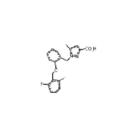 Cc1cc(C(=O)O)nn1Cc1ccccc1OCc1c(F)cccc1F